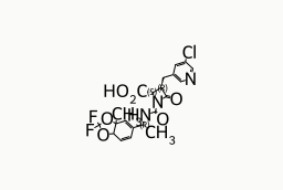 C[C@@H](NC(=O)N1C(=O)[C@H](Cc2cncc(Cl)c2)[C@H]1C(=O)O)C1=CC2(C)OC(F)(F)OC2C=C1